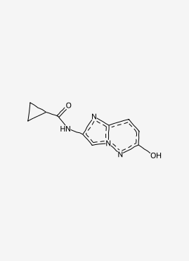 O=C(Nc1cn2nc(O)ccc2n1)C1CC1